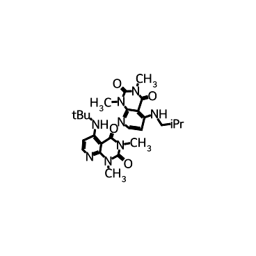 CC(C)CNc1ccnc2c1c(=O)n(C)c(=O)n2C.Cn1c(=O)c2c(NC(C)(C)C)ccnc2n(C)c1=O